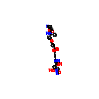 O=C(NC(c1ccccc1)c1cccc(OCc2ccc(C(=O)OCCCCCCNC[C@H](O)c3ccc(O)c4[nH]c(=O)ccc34)cc2)c1)O[C@H]1CN2CCC1CC2